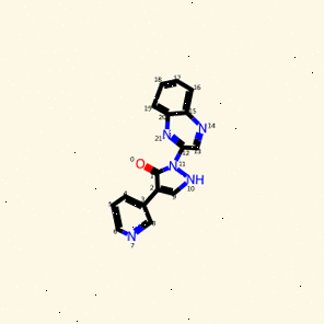 O=c1c(-c2cccnc2)c[nH]n1-c1cnc2ccccc2n1